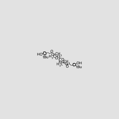 CC(C)(C)c1cc(CCC(=O)OCC(C)(C)C2OCC3(CO2)COC(C(C)(C)COC(=O)CCc2ccc(O)c(C(C)(C)C)c2)OC3)ccc1O